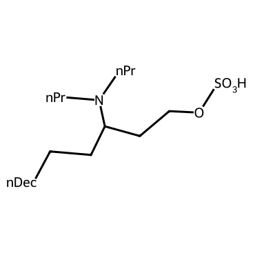 CCCCCCCCCCCCC(CCOS(=O)(=O)O)N(CCC)CCC